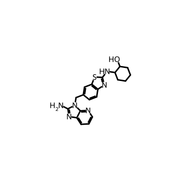 Nc1nc2cccnc2n1Cc1ccc2nc(NC3CCCCC3O)sc2c1